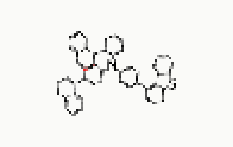 c1ccc(N(c2ccc(-c3cccc4ccccc34)cc2)c2ccc(-c3cccc4sc5ccccc5c34)cc2)c(-c2cccc3ccccc23)c1